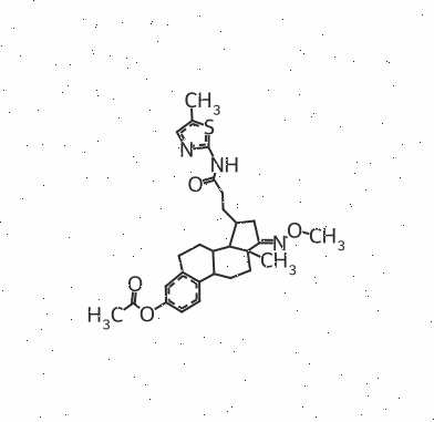 CO/N=C1\CC(CCC(=O)Nc2ncc(C)s2)C2C3CCc4cc(OC(C)=O)ccc4C3CCC12C